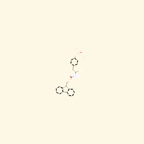 COP(C)(=O)Oc1ccc(CC(NC(=O)OCC2c3ccccc3-c3ccccc32)C(=O)O)cc1